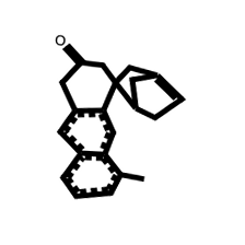 Cc1cccc2cc3c(cc12)C1(CC(=O)C3)CC2=CCC1C2